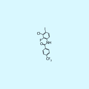 O=C(Nc1ccc(I)c(Cl)c1F)c1ccc(C(F)(F)F)cc1